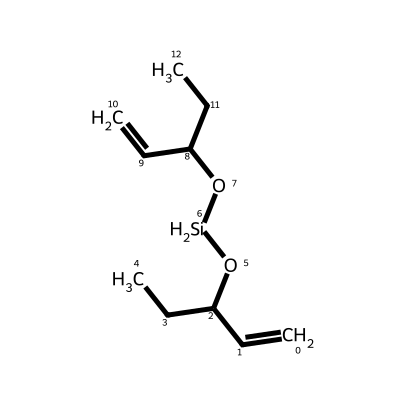 C=CC(CC)O[SiH2]OC(C=C)CC